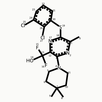 Cc1nc(N2CCC(C)(C)CC2)c(C(O)(F)F)nc1Sc1cccc(Cl)c1Cl